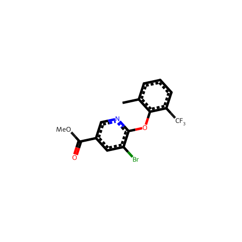 COC(=O)c1cnc(Oc2c(C)cccc2C(F)(F)F)c(Br)c1